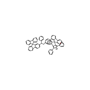 c1ccc(-c2sc(-c3ccccc3)c3c2-c2ccccc2C32c3ccccc3-c3cccc(-c4ccc(CC(c5ccccc5)c5ccc6c(c5)C5(c7ccccc7-c7ccccc75)c5ccccc5-6)cc4)c32)cc1